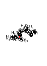 CC1(C)O[C@H]2O[C@H]([C@H]3COC(C)(C)O3)[C@H](Oc3cccc4c3C(N)=NS(=O)(=O)N4CO[C@@H]3O[C@H](COc4cccc5c4C(N)=NS(=O)(=O)N5)[C@H]4OC(C)(C)O[C@@H]34)[C@H]2O1